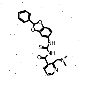 CN(C)Cc1ncccc1C(=O)NC(=S)Nc1ccc2c(c1)OC(c1ccccc1)O2